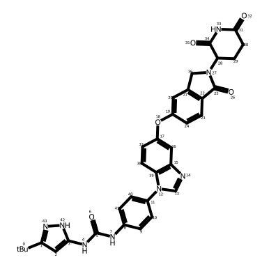 CC(C)(C)c1cc(NC(=O)Nc2ccc(-n3cnc4cc(Oc5[c]c6c(cc5)C(=O)N(C5CCC(=O)NC5=O)C6)ccc43)cc2)[nH]n1